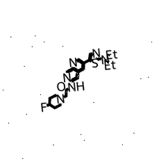 CCN(CC)c1ncc(-c2cnc3cnc(NC(=O)CN4CCC(F)CC4)cc3c2)s1